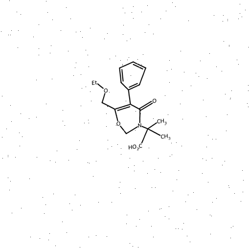 CCOCC1=C(c2ccccc2)C(=O)N(C(C)(C)C(=O)O)CO1